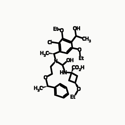 CCOc1cc([C@@H](C)N(CCO[C@@H](C)c2ccccc2)C(O)N[C@]2(C(=O)O)C[C@H](OCC)C2)c(Cl)c(OCC)c1C(C)O